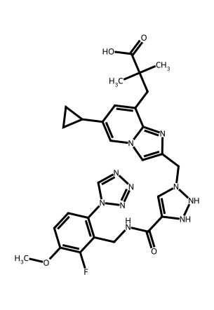 COc1ccc(-n2cnnn2)c(CNC(=O)C2=CN(Cc3cn4cc(C5CC5)cc(CC(C)(C)C(=O)O)c4n3)NN2)c1F